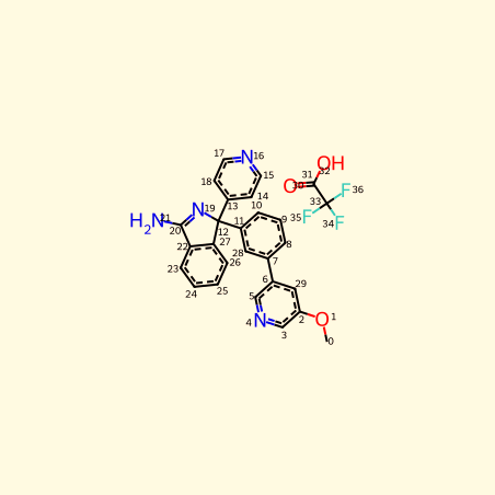 COc1cncc(-c2cccc(C3(c4ccncc4)N=C(N)c4ccccc43)c2)c1.O=C(O)C(F)(F)F